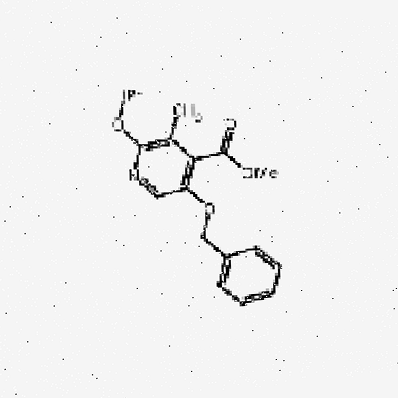 COC(=O)c1c(OCc2ccccc2)cnc(OC(C)C)c1C